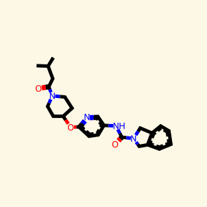 CC(C)CC(=O)N1CCC(Oc2ccc(NC(=O)N3Cc4ccccc4C3)cn2)CC1